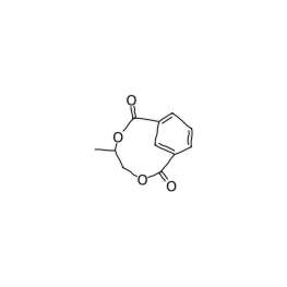 CC1COC(=O)c2cccc(c2)C(=O)O1